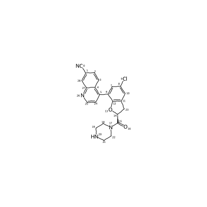 N#Cc1ccc2c(-c3cc(Cl)cc4c3O[C@H](C(=O)N3CCNCC3)C4)ccnc2c1